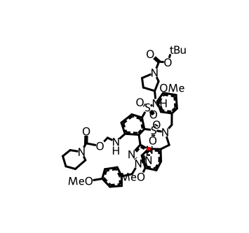 COc1ccc(CN(Cc2ccc(OC)cc2)S(=O)(=O)c2c(S(=O)(=O)NC3CCN(C(=O)OC(C)(C)C)C3)ccc(NCOC(=O)N3CCCCC3)c2-c2nnn(Cc3ccc(OC)cc3)n2)cc1